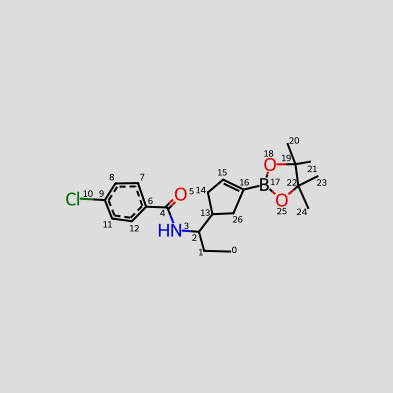 CCC(NC(=O)c1ccc(Cl)cc1)C1CC=C(B2OC(C)(C)C(C)(C)O2)C1